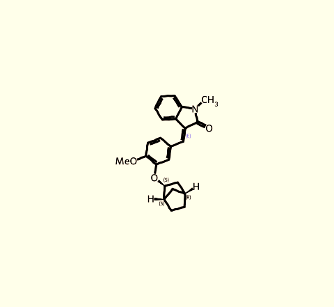 COc1ccc(/C=C2/C(=O)N(C)c3ccccc32)cc1O[C@H]1C[C@@H]2CC[C@H]1C2